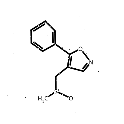 C[S+]([O-])Cc1[c]noc1-c1ccccc1